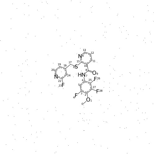 COc1c(F)cc(NC(=O)c2cccnc2SCc2ccnc(F)c2)c(F)c1F